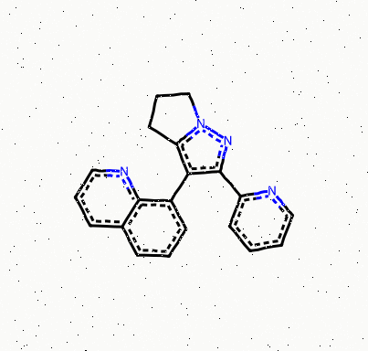 c1ccc(-c2nn3c(c2-c2cccc4cccnc24)CCC3)nc1